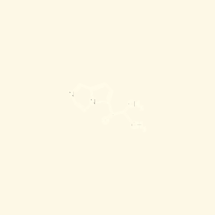 CC(C)C(=O)c1ccc2cnccn12